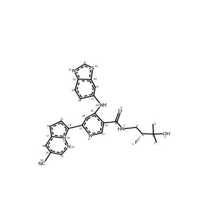 CC(C)(O)[C@H](F)CNC(=O)c1cnc(-c2ccc3cc(C#N)cnn23)cc1Nc1ccc2ncsc2c1